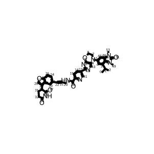 CC(C)c1cc(N2CCOc3nc(-c4ccc(C(=O)NCC#Cc5ccc6occ(C7CCC(=O)NC7=O)c6c5)nc4)ncc32)cc2c1n(C)c(=O)n2C